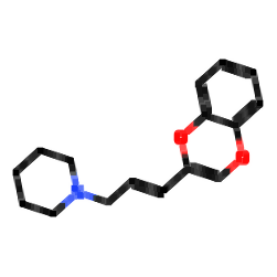 C(=CC1=COc2ccccc2O1)CN1CCCCC1